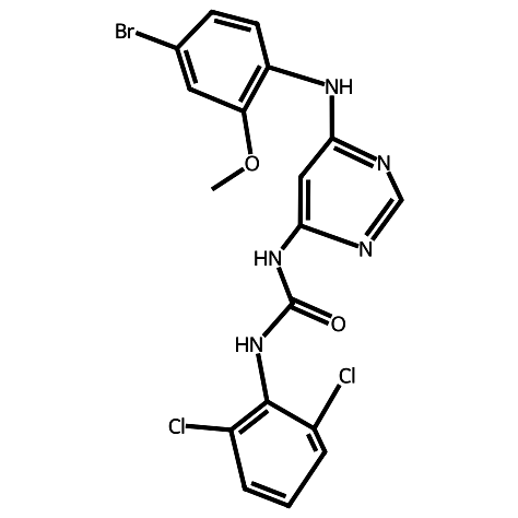 COc1cc(Br)ccc1Nc1cc(NC(=O)Nc2c(Cl)cccc2Cl)ncn1